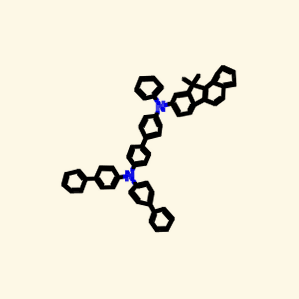 CC1(C)c2cc(N(c3ccccc3)c3ccc(-c4ccc(N(c5ccc(-c6ccccc6)cc5)c5ccc(-c6ccccc6)cc5)cc4)cc3)ccc2-c2ccc3ccccc3c21